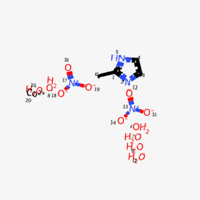 Cc1ncc[nH]1.O.O.O.O.O.O.O=[N+]([O-])[O-].O=[N+]([O-])[O-].[Co+2]